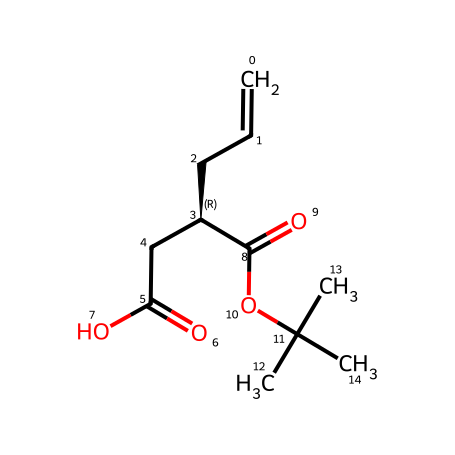 C=CC[C@H](CC(=O)O)C(=O)OC(C)(C)C